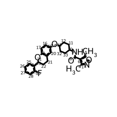 Cc1noc(C)c1C(=O)NC1CCC(Oc2ccc3c(c2)CCC(c2ccccc2F)O3)CC1